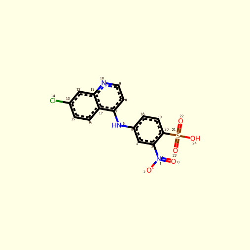 O=[N+]([O-])c1cc(Nc2ccnc3cc(Cl)ccc23)ccc1S(=O)(=O)O